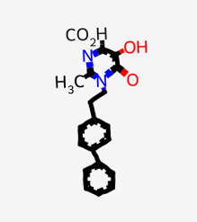 Cc1nc(C(=O)O)c(O)c(=O)n1CCc1ccc(-c2ccccc2)cc1